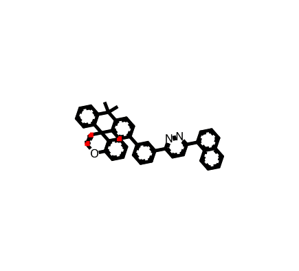 CC1(C)c2ccccc2C2(c3ccccc3Oc3ccccc32)c2cc(-c3cccc(-c4ccc(-c5cccc6ccccc56)nn4)c3)ccc21